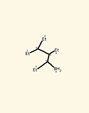 BC(CC)C(CC)C(CC)CC